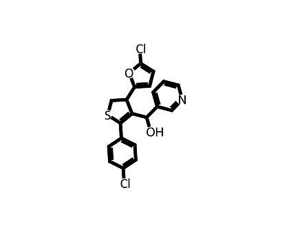 OC(C1=C(c2ccc(Cl)cc2)SCC1c1ccc(Cl)o1)c1cccnc1